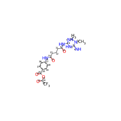 CN(C)C(=N)NC(=N)NC(=O)CCCC(=O)Nc1ccc(C(=O)OC(=O)C(F)(F)F)cc1